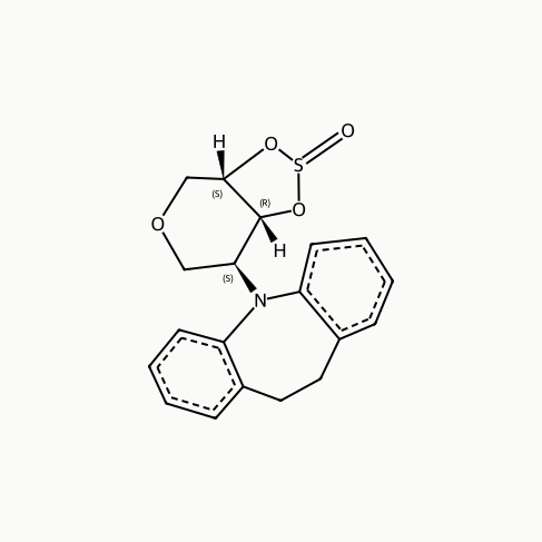 O=S1O[C@H]2[C@H](COC[C@@H]2N2c3ccccc3CCc3ccccc32)O1